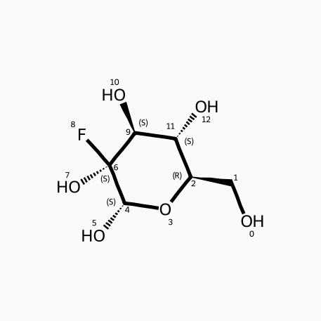 OC[C@H]1O[C@H](O)[C@@](O)(F)[C@@H](O)[C@@H]1O